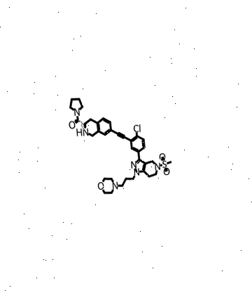 CS(=O)(=O)N1CCc2c(c(-c3ccc(Cl)c(C#Cc4ccc5c(c4)CN[C@H](C(=O)N4CCCC4)C5)c3)nn2CCCN2CCOCC2)C1